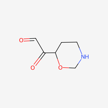 O=CC(=O)C1CCNCO1